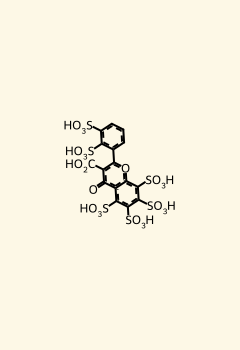 O=C(O)c1c(-c2cccc(S(=O)(=O)O)c2S(=O)(=O)O)oc2c(S(=O)(=O)O)c(S(=O)(=O)O)c(S(=O)(=O)O)c(S(=O)(=O)O)c2c1=O